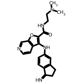 CN(C)CCNC(=O)c1oc2cnccc2c1Nc1ccc2c(c1)CCC2=N